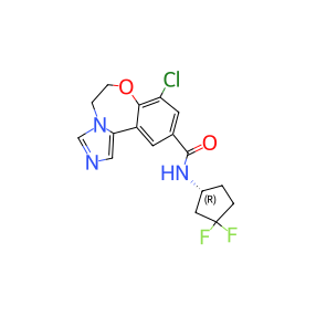 O=C(N[C@@H]1CCC(F)(F)C1)c1cc(Cl)c2c(c1)-c1cncn1CCO2